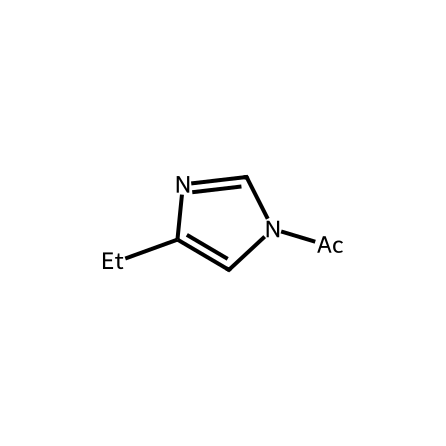 CCc1cn(C(C)=O)cn1